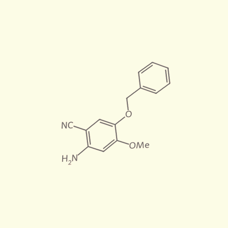 COc1cc(N)c(C#N)cc1OCc1ccccc1